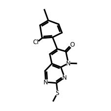 CSc1ncc2cc(-c3ccc(C)cc3Cl)c(=O)n(C)c2n1